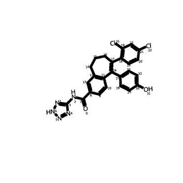 O=C(Nc1nn[nH]n1)c1ccc2c(c1)CCCC(c1ccc(Cl)cc1Cl)=C2c1ccc(O)cc1